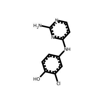 Nc1nccc(Nc2ccc(O)c(Cl)c2)n1